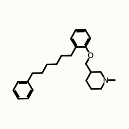 CN1CCCC(COc2ccccc2CCCCCCc2ccccc2)C1